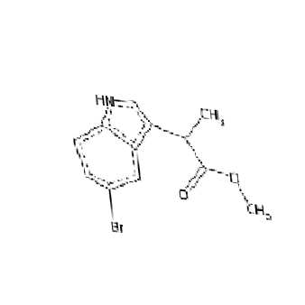 COC(=O)C(C)c1c[nH]c2ccc(Br)cc12